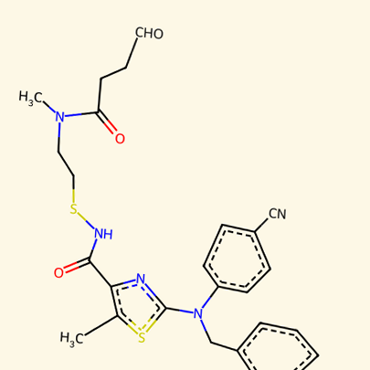 Cc1sc(N(Cc2ccccc2)c2ccc(C#N)cc2)nc1C(=O)NSCCN(C)C(=O)CCC=O